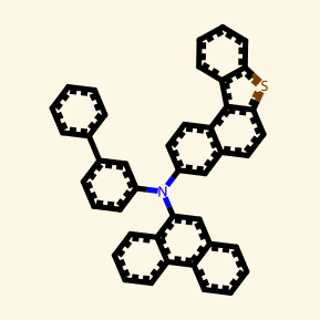 c1ccc(-c2cccc(N(c3ccc4c(ccc5sc6ccccc6c54)c3)c3cc4ccccc4c4ccccc34)c2)cc1